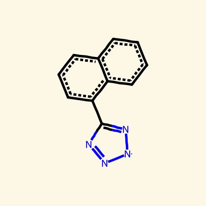 c1ccc2c(C3=N[N]N=N3)cccc2c1